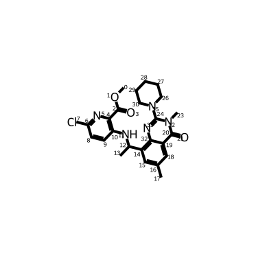 COC(=O)c1nc(Cl)ccc1NC(C)c1cc(C)cc2c(=O)n(C)c(N3CCCCC3)nc12